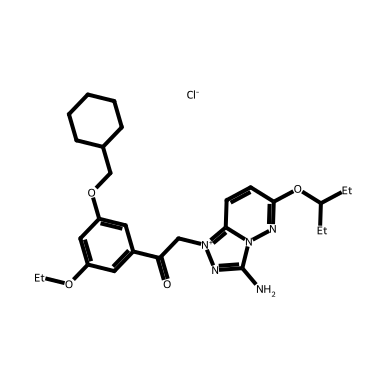 CCOc1cc(OCC2CCCCC2)cc(C(=O)C[n+]2nc(N)n3nc(OC(CC)CC)ccc32)c1.[Cl-]